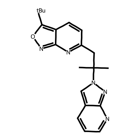 CC(C)(C)c1onc2nc(CC(C)(C)n3cc4cccnc4n3)ccc12